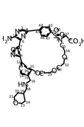 Nc1ncc2nc1-c1cc(no1)-c1ccc(CNCC3CCOCC3)c(c1)OCCOCCOCCN(CC(=O)O)S(=O)(=O)c1ccc-2cc1